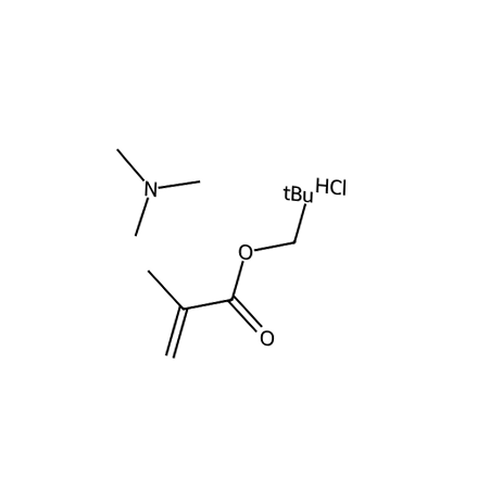 C=C(C)C(=O)OCC(C)(C)C.CN(C)C.Cl